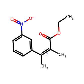 CCOC(=O)/C(C)=C(/C)c1cccc([N+](=O)[O-])c1